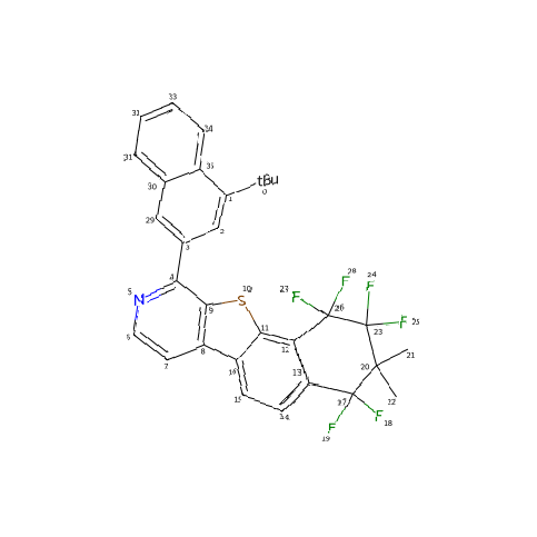 CC(C)(C)c1cc(-c2nccc3c2sc2c4c(ccc23)C(F)(F)C(C)(C)C(F)(F)C4(F)F)cc2ccccc12